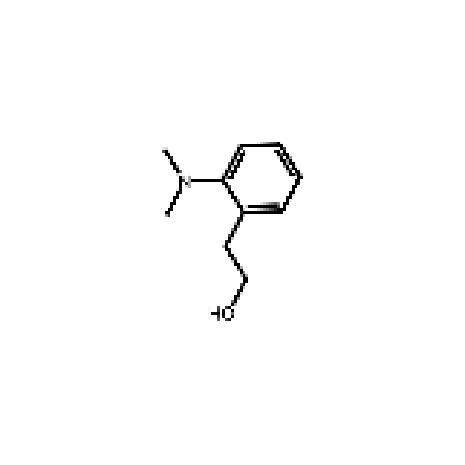 CN(C)c1ccccc1CCO